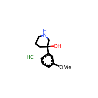 COc1cccc(C2(O)CCCNC2)c1.Cl